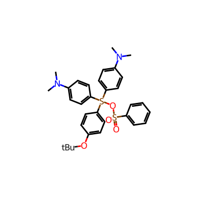 CN(C)c1ccc(S(OS(=O)(=O)c2ccccc2)(c2ccc(OC(C)(C)C)cc2)c2ccc(N(C)C)cc2)cc1